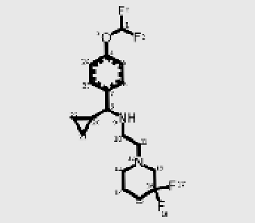 FC(F)Oc1ccc(C(NCCN2CCCC(F)(F)C2)C2CC2)cc1